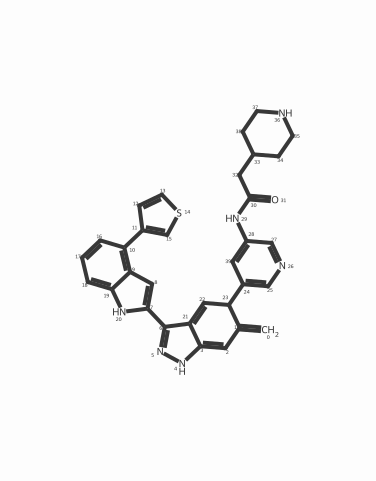 C=C1C=c2[nH]nc(-c3cc4c(-c5ccsc5)cccc4[nH]3)c2=CC1c1cncc(NC(=O)CC2CCNCC2)c1